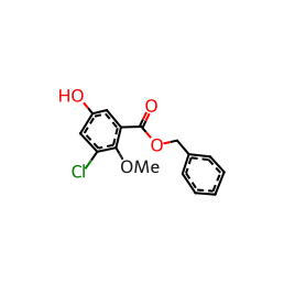 COc1c(Cl)cc(O)cc1C(=O)OCc1ccccc1